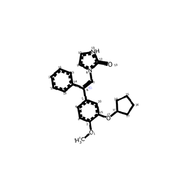 COc1ccc(/C(=C/n2cc[nH]c2=O)c2ccccc2)cc1OC1CCCC1